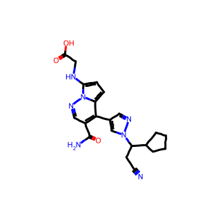 N#CCC(C1CCCC1)n1cc(-c2c(C(N)=O)cnn3c(NCC(=O)O)ccc23)cn1